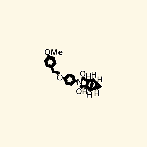 COc1ccc(CCOc2ccc(N3C(=O)[C@@H]4[C@@H]5C=C[C@@H]([C@H]6C[C@@H]56)[C@@H]4C3=O)cc2)cc1